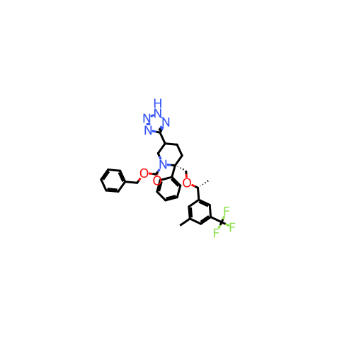 Cc1cc([C@@H](C)OC[C@@]2(c3ccccc3)CCC(c3nn[nH]n3)CN2C(=O)OCc2ccccc2)cc(C(F)(F)F)c1